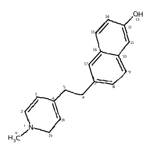 CN1C=CC(CCc2ccc3cc(O)ccc3c2)=CC1